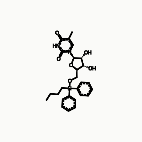 CCCC[Si](OC[C@H]1O[C@@H](n2cc(C)c(=O)[nH]c2=O)[C@H](O)[C@@H]1O)(c1ccccc1)c1ccccc1